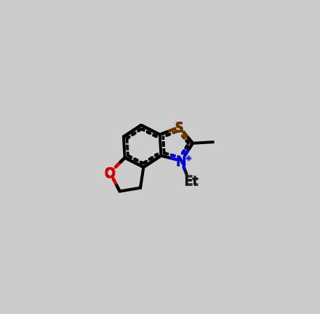 CC[n+]1c(C)sc2ccc3c(c21)CCO3